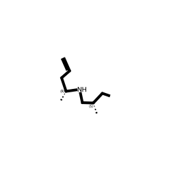 C=CC[C@@H](C)NC[C@@H](C)CC